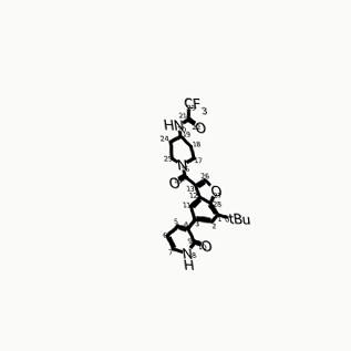 CC(C)(C)c1cc(-c2ccc[nH]c2=O)cc2c(C(=O)N3CCC(NC(=O)C(F)(F)F)CC3)coc12